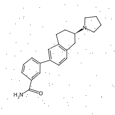 NC(=O)c1cccc(-c2ccc3c(c2)CC[C@@H](N2CCCC2)C3)c1